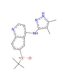 Cc1[nH]nc(Nc2ccnc3ccc([S@+]([O-])C(C)(C)C)cc23)c1C